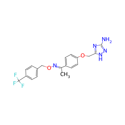 C/C(=N\OCc1ccc(C(F)(F)F)cc1)c1ccc(OCc2nc(N)n[nH]2)cc1